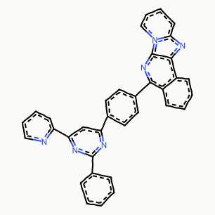 c1ccc(-c2nc(-c3ccc(-c4nc5c(nc6ccccn65)c5ccccc45)cc3)cc(-c3ccccn3)n2)cc1